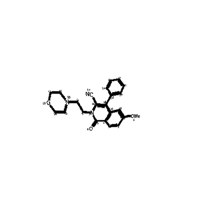 COc1ccc2c(=O)n(CCN3CCOCC3)c(C#N)c(-c3ccccc3)c2c1